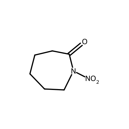 O=C1CCCCCN1[N+](=O)[O-]